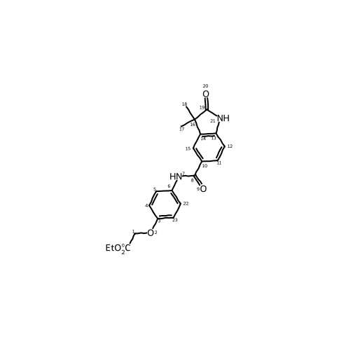 CCOC(=O)COc1ccc(NC(=O)c2ccc3c(c2)C(C)(C)C(=O)N3)cc1